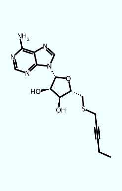 CCC#CCSC[C@H]1O[C@@H](n2cnc3c(N)ncnc32)[C@H](O)[C@@H]1O